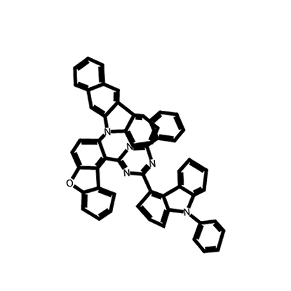 c1ccc(-c2nc(-c3c(-n4c5ccccc5c5cc6ccccc6cc54)ccc4oc5ccccc5c34)nc(-c3cccc4c3c3ccccc3n4-c3ccccc3)n2)cc1